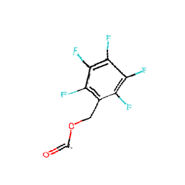 O=[C]OCc1c(F)c(F)c(F)c(F)c1F